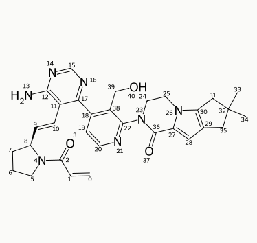 C=CC(=O)N1CCC[C@H]1/C=C/c1c(N)ncnc1-c1ccnc(N2CCn3c(cc4c3CC(C)(C)C4)C2=O)c1CO